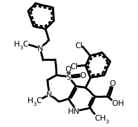 CC1=C(C(=O)O)C(c2cccc(Cl)c2Cl)C2=C(CN(C)CC(CCN(C)Cc3ccccc3)S2(=O)=O)N1